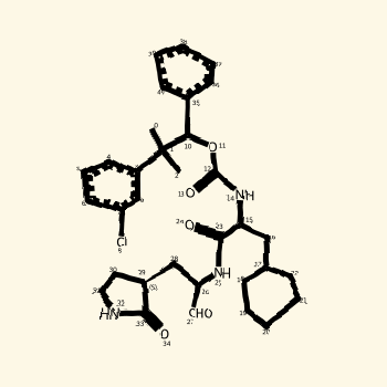 CC(C)(c1cccc(Cl)c1)C(OC(=O)NC(CC1CCCCC1)C(=O)NC(C=O)C[C@@H]1CCNC1=O)c1ccccc1